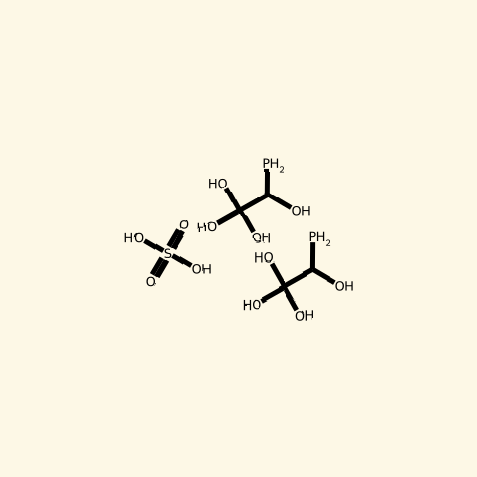 O=S(=O)(O)O.OC(P)C(O)(O)O.OC(P)C(O)(O)O